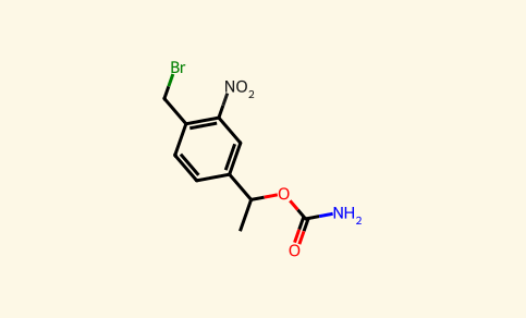 CC(OC(N)=O)c1ccc(CBr)c([N+](=O)[O-])c1